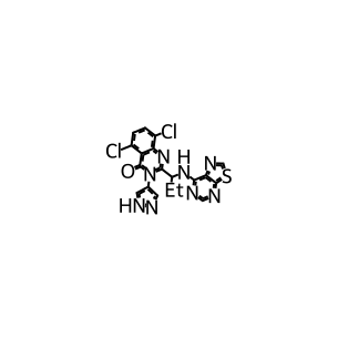 CCC(Nc1ncnc2scnc12)c1nc2c(Cl)ccc(Cl)c2c(=O)n1-c1cn[nH]c1